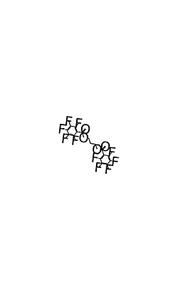 O=C(OCCCOC(=O)c1c(F)c(F)c(F)c(F)c1F)c1c(F)c(F)c(F)c(F)c1F